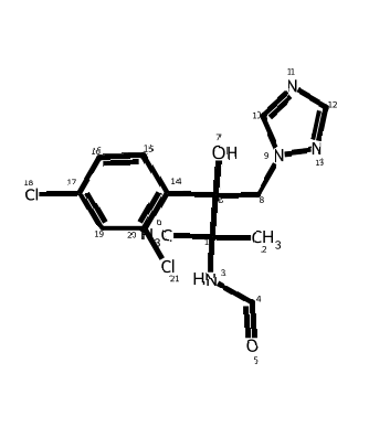 CC(C)(NC=O)C(O)(Cn1cncn1)c1ccc(Cl)cc1Cl